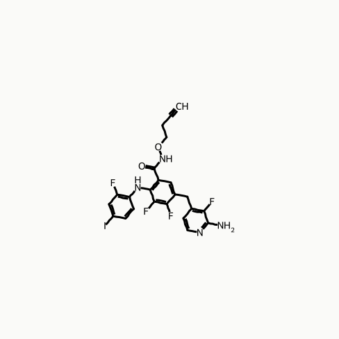 C#CCCONC(=O)c1cc(Cc2ccnc(N)c2F)c(F)c(F)c1Nc1ccc(I)cc1F